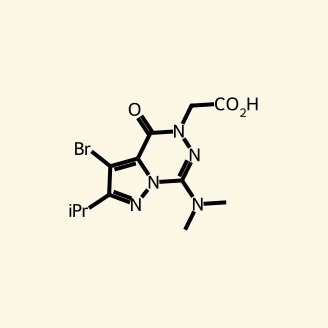 CC(C)c1nn2c(N(C)C)nn(CC(=O)O)c(=O)c2c1Br